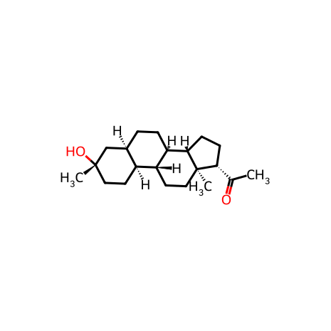 CC(=O)[C@H]1CC[C@H]2[C@@H]3CC[C@@H]4C[C@@](C)(O)CC[C@@H]4[C@H]3CC[C@]12C